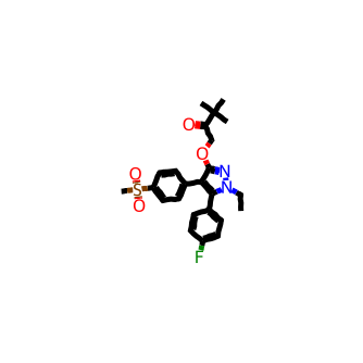 CCn1nc(OCC(=O)C(C)(C)C)c(-c2ccc(S(C)(=O)=O)cc2)c1-c1ccc(F)cc1